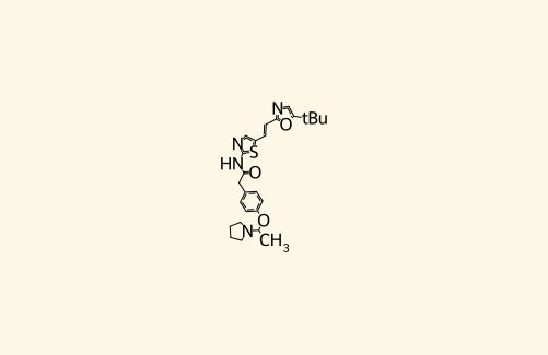 CC(Oc1ccc(CC(=O)Nc2ncc(/C=C/c3ncc(C(C)(C)C)o3)s2)cc1)N1CCCC1